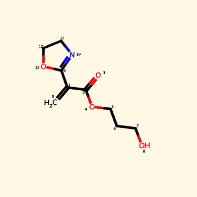 C=C(C(=O)OCCCO)C1=NCCO1